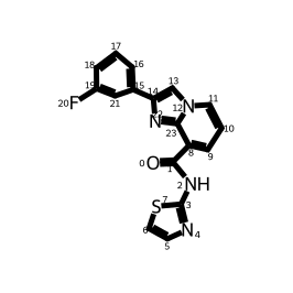 O=C(Nc1nccs1)c1cccn2cc(-c3cccc(F)c3)nc12